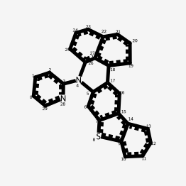 c1ccc(N2c3cc4sc5ccccc5c4cc3-c3cccc4cccc2c34)nc1